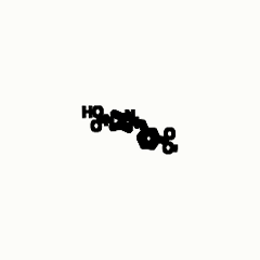 COC(=O)c1cccc(Cn2cc3c(n2)CN(C(=O)O)C3)c1